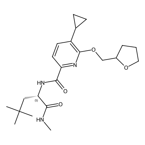 CNC(=O)[C@H](CC(C)(C)C)NC(=O)c1ccc(C2CC2)c(OCC2CCCO2)n1